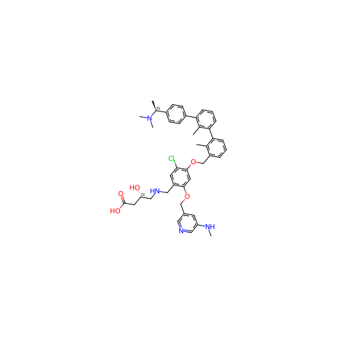 CNc1cncc(COc2cc(OCc3cccc(-c4cccc(-c5ccc([C@H](C)N(C)C)cc5)c4C)c3C)c(Cl)cc2CNC[C@@H](O)CC(=O)O)c1